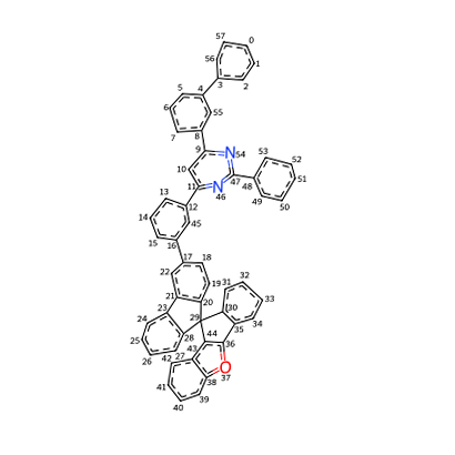 c1ccc(-c2cccc(-c3cc(-c4cccc(-c5ccc6c(c5)-c5ccccc5C65c6ccccc6-c6oc7ccccc7c65)c4)nc(-c4ccccc4)n3)c2)cc1